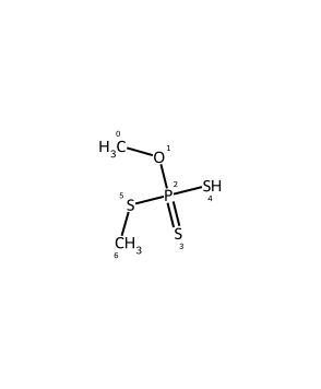 COP(=S)(S)SC